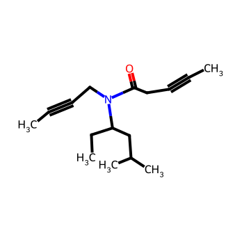 CC#CCC(=O)N(CC#CC)C(CC)CC(C)C